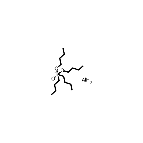 CCCC[O][Ti](=[O])([CH2]CCC)([CH2]CCC)[O]CCCC.[AlH3]